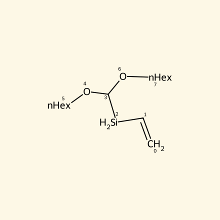 C=C[SiH2]C(OCCCCCC)OCCCCCC